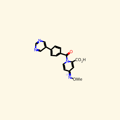 CO/N=c1/ccn(C(=O)c2ccc(-c3cncnc3)cc2)c(C(=O)O)c1